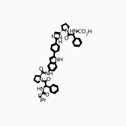 CC(C)OC(=O)NC(C(=O)N1CCC[C@H]1C(=O)Nc1ccc2[nH]c(-c3ccc(-c4ncc([C@@H]5CCCN5C(=O)C(NC(=O)O)c5ccccc5)[nH]4)cc3)cc2c1)c1ccccc1